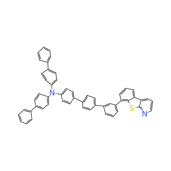 c1ccc(-c2ccc(N(c3ccc(-c4ccccc4)cc3)c3ccc(-c4ccc(-c5cccc(-c6cccc7c6sc6ncccc67)c5)cc4)cc3)cc2)cc1